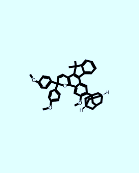 COc1ccc(C2(c3ccc(OC)cc3)C=Cc3c4c(c5cc(C67CC8C[C@H](C6)C[C@H](C8)C7)c(OC)cc5c3O2)-c2ccccc2C4(C)C)cc1